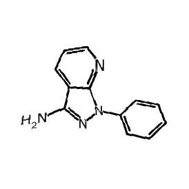 Nc1nn(-c2ccccc2)c2ncccc12